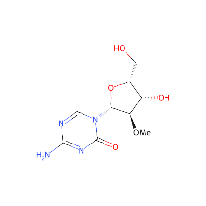 CO[C@@H]1[C@@H](O)[C@@H](CO)O[C@H]1n1cnc(N)nc1=O